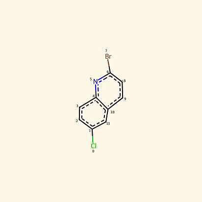 Clc1ccc2nc(Br)[c]cc2c1